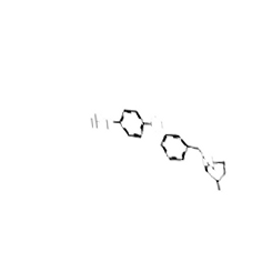 CC(C)c1ccc(Oc2cccc(CN3CCC(F)C3)c2)cc1